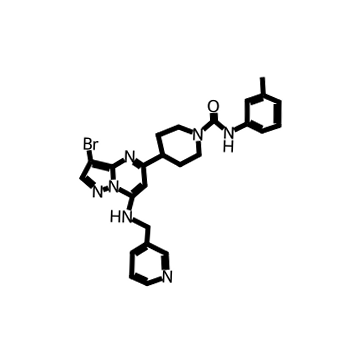 Cc1cccc(NC(=O)N2CCC(c3cc(NCc4cccnc4)n4ncc(Br)c4n3)CC2)c1